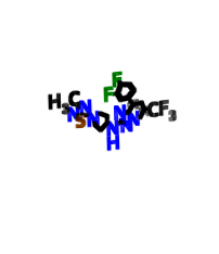 Cc1nsc(N2CCC(Nc3nc4n(n3)C[C@H](C(F)(F)F)C[C@@H]4c3ccc(F)c(F)c3)CC2)n1